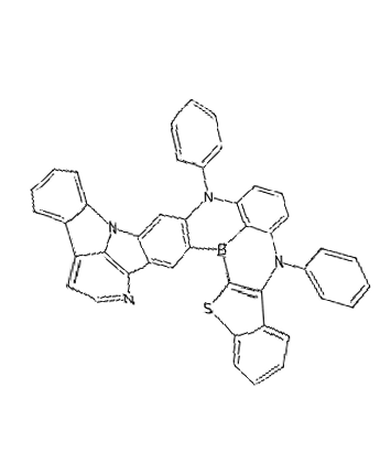 c1ccc(N2c3cc4c(cc3B3c5sc6ccccc6c5N(c5ccccc5)c5cccc2c53)c2nccc3c5ccccc5n4c32)cc1